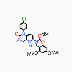 COc1ccc(CN(C(=O)OC(C)(C)C)C2=CC=C3C(CN(C)C(=O)N3c3ccc(Cl)cc3)N2)c(OC)c1